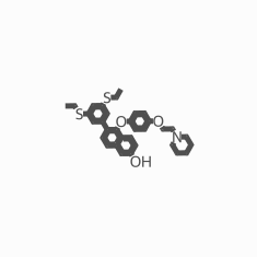 CCSc1cc(SCC)cc(-c2ccc3cc(O)ccc3c2Oc2ccc(OCCN3CCCCC3)cc2)c1